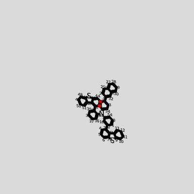 c1cc(-c2cccc3sc4ccccc4c23)cc(N(c2ccc(-c3ccc4ccccc4c3)cc2)c2ccccc2-c2cccc3sc4ccccc4c23)c1